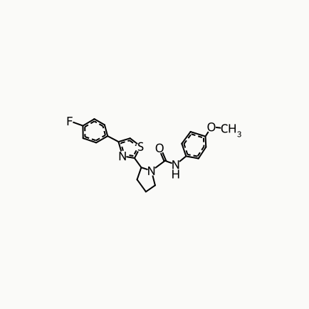 COc1ccc(NC(=O)N2CCCC2c2nc(-c3ccc(F)cc3)cs2)cc1